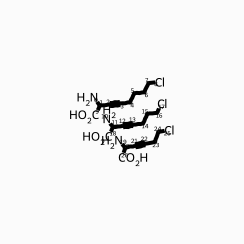 NC(C#CCCCCCl)C(=O)O.NC(C#CCCCCl)C(=O)O.NC(C#CCCCl)C(=O)O